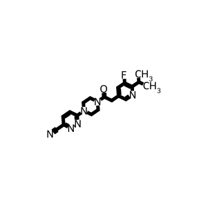 CC(C)c1ncc(CC(=O)N2CCN(c3ccc(C#N)nn3)CC2)cc1F